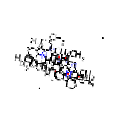 C=C/C=C1\C2=C(C)C3CC[C@@H](C)[C@@]4(C)C3N2C2=C(C[C@H](Cc3cccc(C5=C\C(C)C(C)(C)C6(C)CCCC7C6N6C/C(=C\5)C(C)(C)[C@@]5(C)CCCC7[C@@]65C)c3/C=C\CCC)C=C2C1(C)C)C4(C)C